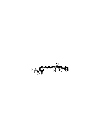 NC(=O)[C@@H]1CCN(CCCCCNC(=O)c2cc(-c3cccs3)on2)C[C@@H]1F